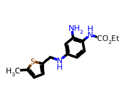 CCOC(=O)Nc1ccc(NCc2ccc(C)s2)cc1N